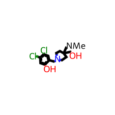 CNCC1(CO)CCN(Cc2cc(Cl)c(Cl)cc2O)CC1